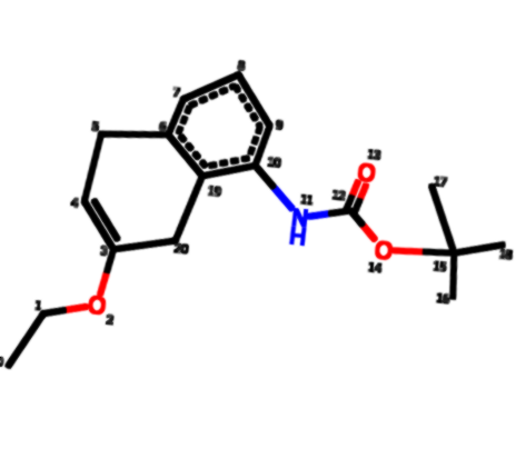 CCOC1=CCc2cccc(NC(=O)OC(C)(C)C)c2C1